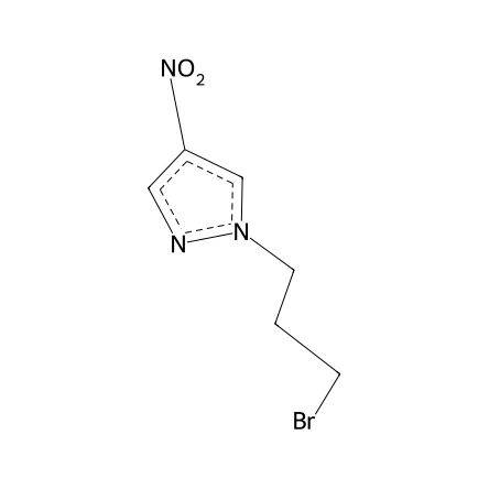 O=[N+]([O-])c1cnn(CCCBr)c1